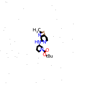 Cc1nc2c(N[C@@H]3CCCN(C(=O)OC(C)(C)C)C3)nccc2s1